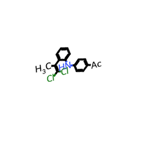 CC(=O)c1ccc(Nc2ccccc2C(C)=C(Cl)Cl)cc1